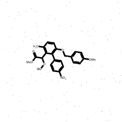 COC(=O)C(OC(C)(C)C)c1c(C)ccc(OCc2ccc(OC)cc2)c1-c1ccc([N+](=O)[O-])cc1